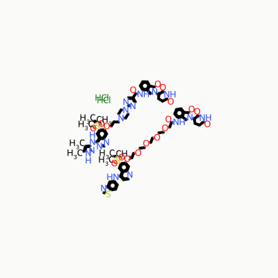 CC(C)(C)S(=O)(=O)c1cc2c(Nc3ccc4scnc4c3)ccnc2cc1OCCOCCOCCOCCOCC(=O)Nc1cccc2c1CN(C1CCC(=O)NC1=O)C2=O.Cc1[nH]nc(Nc2ncnc3cc(OCCCN4CCN(c5ncc(C(=O)Nc6cccc7c6CN([C@H]6CCC(=O)NC6=O)C7=O)cn5)CC4)c(S(=O)(=O)C(C)(C)C)cc23)c1C.Cl.Cl